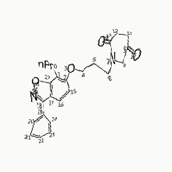 CCCc1c(OCCCN2CC(=O)CCC2=O)ccc2c(-c3ccccc3)noc12